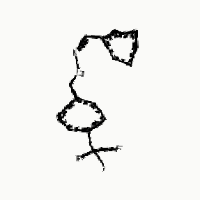 FC(F)(F)c1ccc(CO/N=[C]\c2ccccc2)cc1